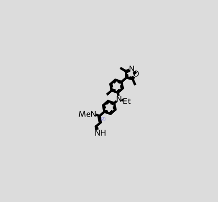 CCN(c1ccc(/C(=C/C=N)NC)cc1)c1cc(-c2c(C)noc2C)ccc1C